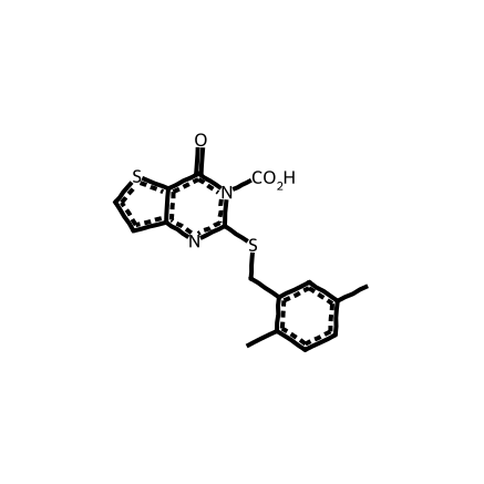 Cc1ccc(C)c(CSc2nc3ccsc3c(=O)n2C(=O)O)c1